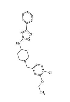 CCOc1cc(CN2CCC(Nc3nc(-c4ccccc4)no3)CC2)ccc1Cl